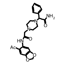 CC(=O)c1cc2c(cc1NC(=O)CN1CCN(C(C(N)=O)c3ccccc3)CC1)OCO2